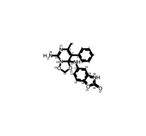 CC1=C(c2ccccc2)C2(Nc3ccc4oc(=O)[nH]c4c3)OCON2C(N)=N1